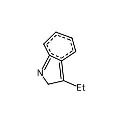 CCC1=c2ccccc2=NC1